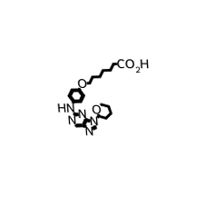 O=C(O)CCCCCCOc1ccc(Nc2ncc3ncn(C4CCCCO4)c3n2)cc1